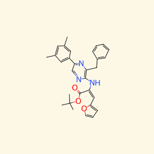 Cc1cc(C)cc(-c2cnc(NC(=Cc3ccco3)C(=O)OC(C)(C)C)c(Cc3ccccc3)n2)c1